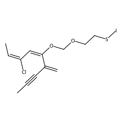 C=C(C#CC)/C(=C\C(Cl)=C/C)OCOCCSI